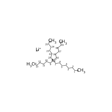 CCCCCCC[CH2][Al-]([CH2]CCCCC)([CH2]CCCCC)[CH2]CCCCC.[Li+]